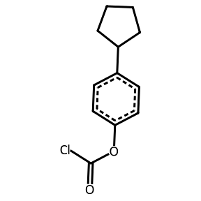 O=C(Cl)Oc1ccc(C2CCCC2)cc1